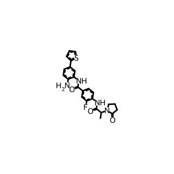 CC(C(=O)Nc1ccc(C(=O)Nc2cc(-c3cccs3)ccc2N)cc1F)N1CCCC1=O